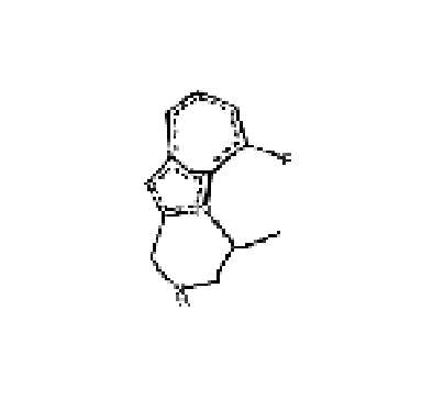 CC1CNCc2cc3cccc(F)c3n21